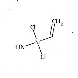 C=C[Si]([NH])(Cl)Cl